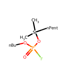 CCCCC[Si](C)(C)OP(=O)(F)OCCCC